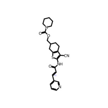 N#Cc1c(NC(=O)/C=C/c2cccnc2)sc2c1CCC(COC(=O)N1CCCCC1)C2